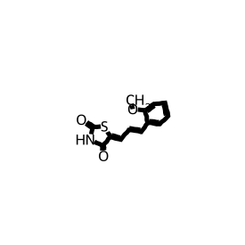 COc1ccccc1/C=C/C=C1\SC(=O)NC1=O